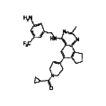 Cc1nc(NCc2cc(N)cc(C(F)(F)F)c2)c2cc(C3=CCN(C(=O)C4CC4)CC3)c3c(c2n1)CCC3